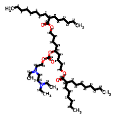 CCCCCCCCC(CCCCCC)C(=O)OCCCCC(CCCCOC(=O)C(CCCCCC)CCCCCCCC)OC(=O)OCCN(CC)CCN(CC)CC